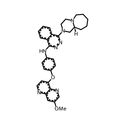 COc1cnc2c(Oc3ccc(Nc4nnc(N5CCN6CCCCC[C@@H]6C5)c5ccccc45)cc3)ccnc2c1